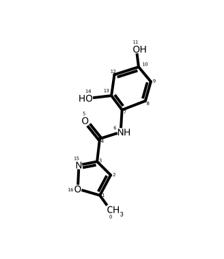 Cc1cc(C(=O)Nc2ccc(O)cc2O)no1